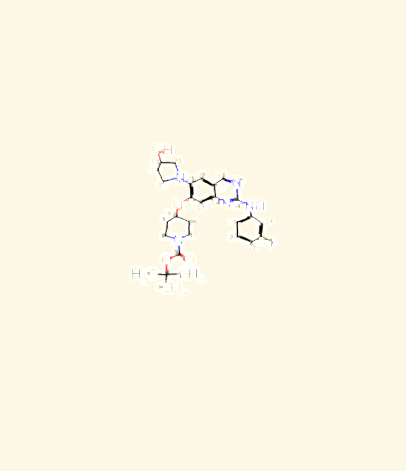 CC(C)(C)OC(=O)N1CCC(Oc2cc3nc(Nc4cccc(F)c4)ncc3cc2N2CCC(O)C2)CC1